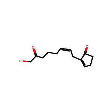 O=C(CO)CCC/C=C\CC1=CCCC1=O